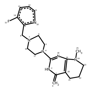 C=C1NC(N2CCN(Cc3ncccc3F)CC2)=NC2=C1CCCN2C